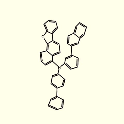 c1ccc(-c2ccc(N(c3cccc(-c4ccc5ccccc5c4)c3)c3cccc4c3ccc3c5ccccc5oc43)cc2)cc1